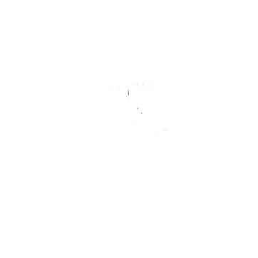 CC(C)CCCCCCCCCCCCCCC(=O)O.O=C(O)[C@@H]1CCC(=O)N1CC(O)CO